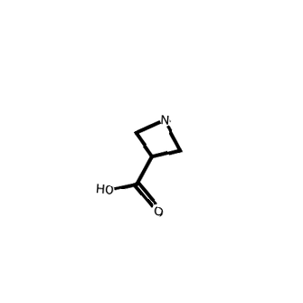 O=C(O)C1C[N]C1